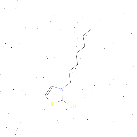 CCCCCCCN1C=CSC1S